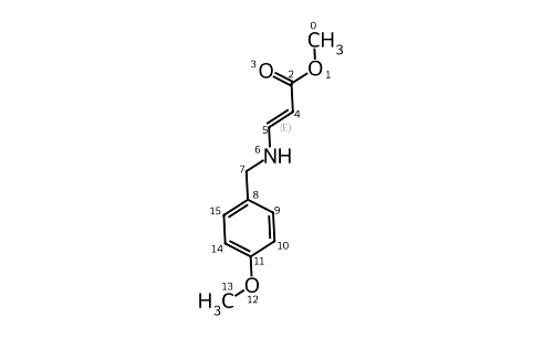 COC(=O)/C=C/NCc1ccc(OC)cc1